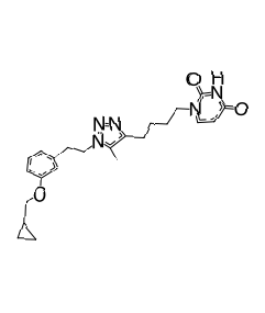 Cc1c(CCCCn2ccc(=O)[nH]c2=O)nnn1CCc1cccc(OCC2CC2)c1